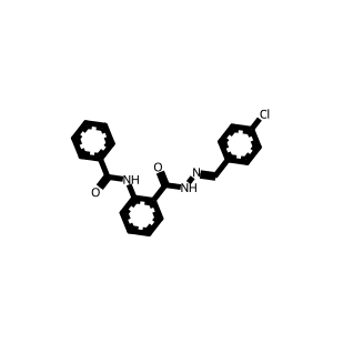 O=C(Nc1ccccc1C(=O)NN=Cc1ccc(Cl)cc1)c1ccccc1